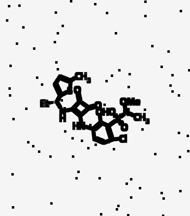 CC[C@@H](Nc1c(Nc2ccc(Cl)c(S(=O)(=O)N(C)OC)c2O)c(=O)c1=O)c1ccc(C)s1